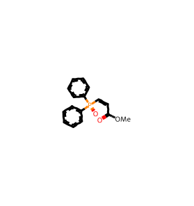 COC(=O)/C=C\P(=O)(c1ccccc1)c1ccccc1